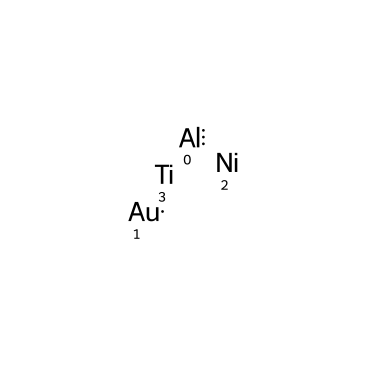 [Al].[Au].[Ni].[Ti]